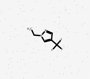 CCn1cc(C(F)(F)F)[c]n1